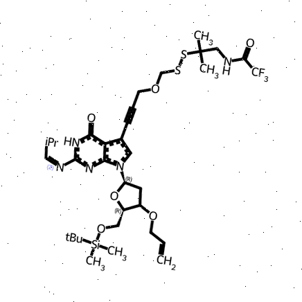 C=CCOC1C[C@H](n2cc(C#CCOCSSC(C)(C)CNC(=O)C(F)(F)F)c3c(=O)[nH]c(/N=C\C(C)C)nc32)O[C@@H]1CO[Si](C)(C)C(C)(C)C